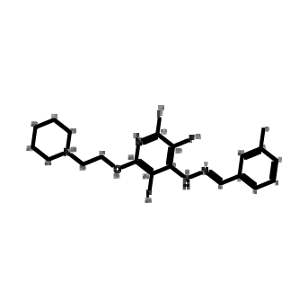 Cc1cccc(C=NNc2c(F)c(F)nc(OCCN3CCCCC3)c2F)c1